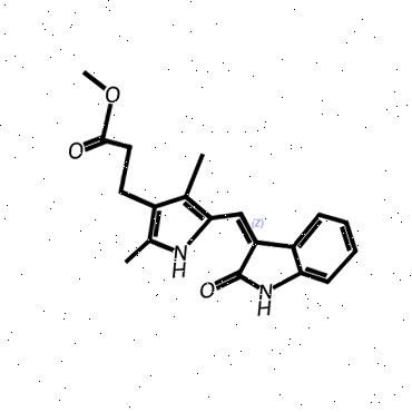 COC(=O)CCc1c(C)[nH]c(/C=C2\C(=O)Nc3ccccc32)c1C